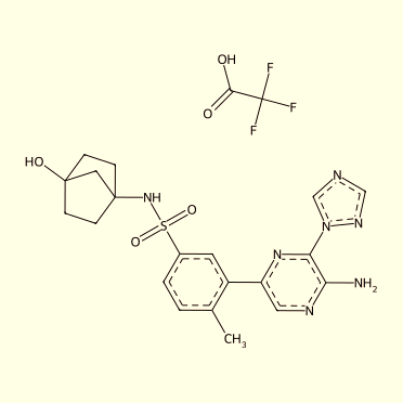 Cc1ccc(S(=O)(=O)NC23CCC(O)(CC2)C3)cc1-c1cnc(N)c(-n2cncn2)n1.O=C(O)C(F)(F)F